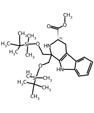 COC(=O)[C@@H]1Cc2c([nH]c3ccccc23)C(CO[Si](C)(C)C(C)(C)C)(CO[Si](C)(C)C(C)(C)C)N1